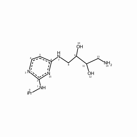 CC(C)Nc1nccc(NCC(O)C(O)CN)n1